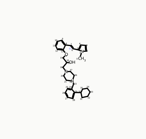 Cn1cccc1/C=C/c1ccccc1OCC(O)CN1CCN(Cc2ccccc2C2CCCCC2)CC1